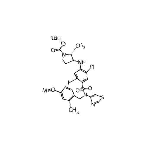 COc1ccc(CN(c2cscn2)S(=O)(=O)c2cc(Cl)c(NC3CCN(C(=O)OC(C)(C)C)[C@@H]3C)cc2F)c(C)c1